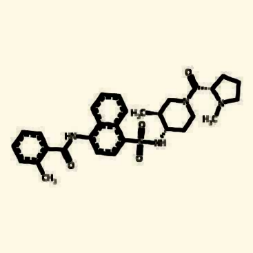 Cc1ccccc1C(=O)Nc1ccc(S(=O)(=O)N[C@H]2CCN(C(=O)[C@@H]3CCCN3C)C[C@@H]2C)c2ccccc12